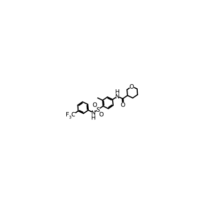 Cc1cc(NC(=O)C2CCCOC2)ccc1S(=O)(=O)Nc1cccc(C(F)(F)F)c1